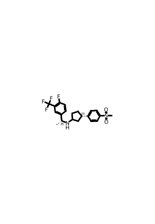 C[C@@H](NC1CC[C@H](c2ccc(S(C)(=O)=O)cc2)C1)c1ccc(F)c(C(F)(F)F)c1